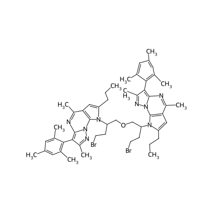 CCCc1cc2c(C)nc3c(-c4c(C)cc(C)cc4C)c(C)nn3c2n1C(CCBr)COCC(CCBr)n1c(CCC)cc2c(C)nc3c(-c4c(C)cc(C)cc4C)c(C)nn3c21